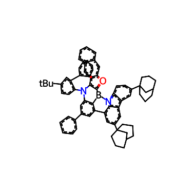 CC(C)(C)c1ccc(N2c3cc(-c4ccccc4)cc4c3B(c3oc5cc6ccccc6cc5c32)n2c3ccc(C56CCCC(CCC5)C6)cc3c3cc(C56CCCC(CCC5)C6)cc-4c32)c(-c2ccccc2)c1